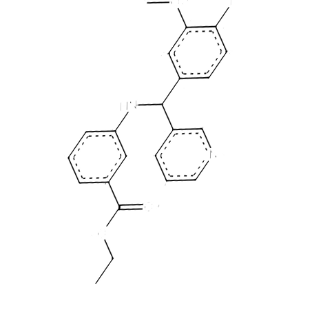 CCOC(=O)c1cccc(NC(c2cccnc2)c2ccc(F)c(OC)c2)c1